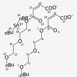 CCCCOCCOCCOC(=O)/C=C\C(=O)[O-].CCCCOCCOCCOC(=O)/C=C\C(=O)[O-].CCC[CH2][Sn+2][CH2]CCC